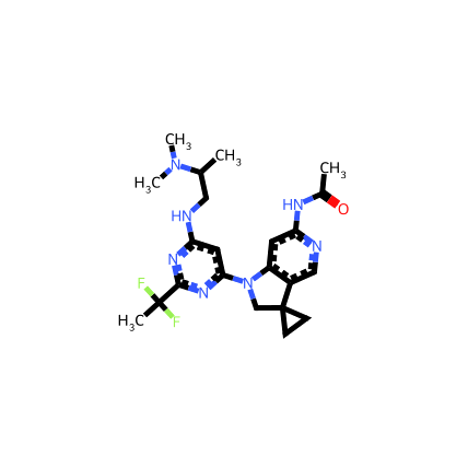 CC(=O)Nc1cc2c(cn1)C1(CC1)CN2c1cc(NCC(C)N(C)C)nc(C(C)(F)F)n1